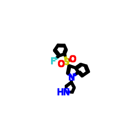 O=S(=O)(c1ccccc1F)c1cn(C2CCNC2)c2ccccc12